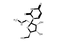 CNC[C@@]1(n2ccc(=O)[nH]c2=O)O[C@H](CO)[C@@H](O)[C@H]1O